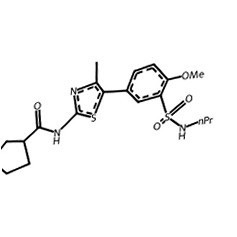 CCCNS(=O)(=O)c1cc(-c2sc(NC(=O)C3CCCC3)nc2C)ccc1OC